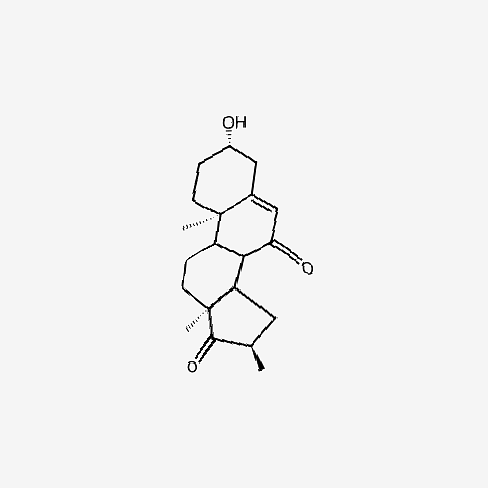 C[C@@H]1CC2C3C(=O)C=C4C[C@@H](O)CC[C@]4(C)C3CC[C@]2(C)C1=O